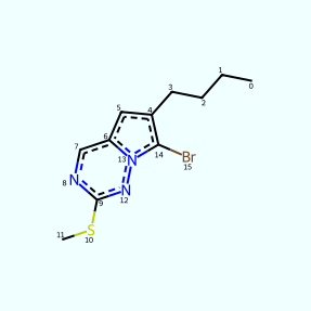 CCCCc1cc2cnc(SC)nn2c1Br